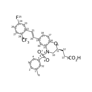 Cc1cccc(S(=O)(=O)N2C[C@H](CCC(=O)O)Oc3ccc(/C=C/c4cc(F)ccc4C(F)(F)F)cc32)c1